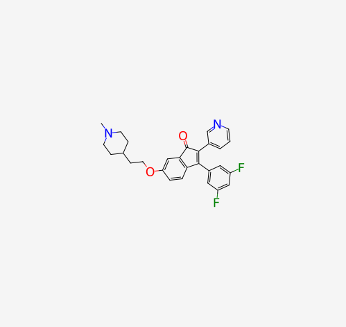 CN1CCC(CCOc2ccc3c(c2)C(=O)C(c2cccnc2)=C3c2cc(F)cc(F)c2)CC1